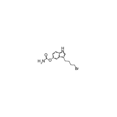 NC(=O)Oc1ccc2[nH]cc(CCCCBr)c2c1